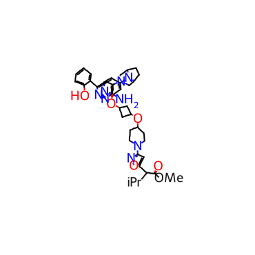 COC(=O)C(c1cc(N2CCC(O[C@H]3C[C@H](Oc4cc(N5C6CCC5CN(c5cc(-c7ccccc7O)nnc5N)C6)ccn4)C3)CC2)no1)C(C)C